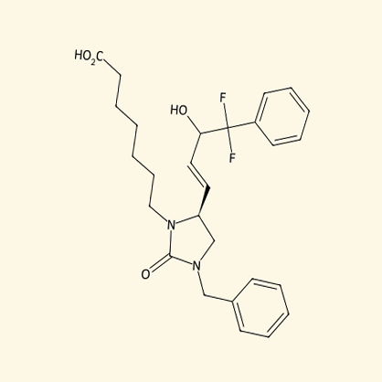 O=C(O)CCCCCCN1C(=O)N(Cc2ccccc2)C[C@@H]1/C=C/C(O)C(F)(F)c1ccccc1